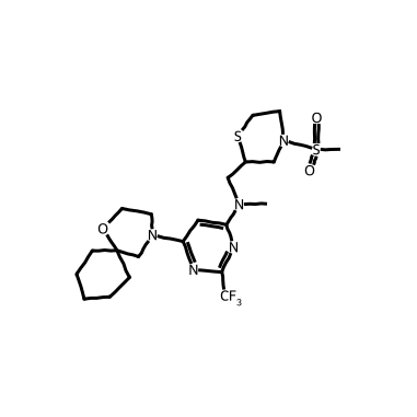 CN(CC1CN(S(C)(=O)=O)CCS1)c1cc(N2CCOC3(CCCCC3)C2)nc(C(F)(F)F)n1